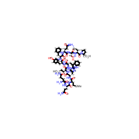 CSCC[C@H](NC(=O)[C@H](CCC(N)=O)NC(=O)[C@@H](N)CCC(N)=O)C(=O)N[C@@H](Cc1c[nH]cn1)C(=O)N[C@@H](CCC(=O)O)C(=O)N[C@@H](Cc1c[nH]c2ccccc12)C(=O)N[C@@H](Cc1ccc(O)cc1)C(=O)N[C@@H](Cc1ccccc1)C(=O)N[C@@H](CCC(N)=O)C(=O)N[C@@H](CO)C(=O)N[C@@H](CC(C)C)C(=O)N1CCC[C@H]1C(=O)O